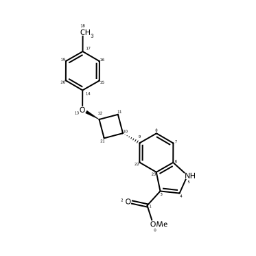 COC(=O)c1c[nH]c2ccc([C@H]3C[C@H](Oc4ccc(C)cc4)C3)cc12